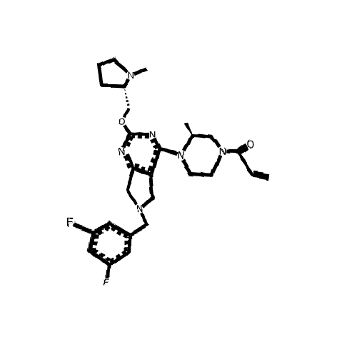 C=CC(=O)N1CCN(c2nc(OC[C@@H]3CCCN3C)nc3c2CN(Cc2cc(F)cc(F)c2)C3)[C@@H](C)C1